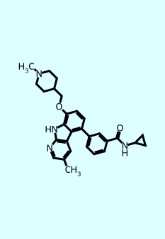 Cc1cnc2[nH]c3c(OCC4CCN(C)CC4)ccc(-c4cccc(C(=O)NC5CC5)c4)c3c2c1